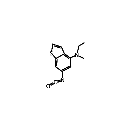 CCN(C)c1cc(N=C=O)cc2sccc12